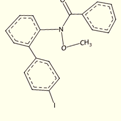 CON(C(=O)c1ccccc1)c1ccccc1-c1ccc(I)cc1